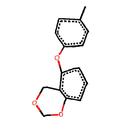 Cc1ccc(Oc2cccc3c2COCO3)cc1